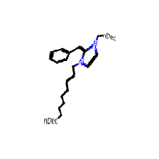 CCCCCCCCCCCCCCCCCCN1C=CN(CCCCCCCCCCC)C1Cc1ccccc1